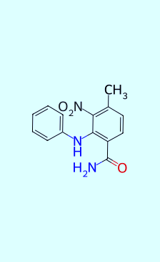 Cc1ccc(C(N)=O)c(Nc2ccccc2)c1[N+](=O)[O-]